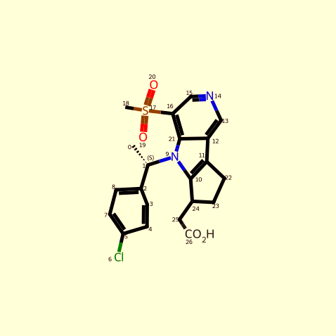 C[C@@H](c1ccc(Cl)cc1)n1c2c(c3cncc(S(C)(=O)=O)c31)CCC2CC(=O)O